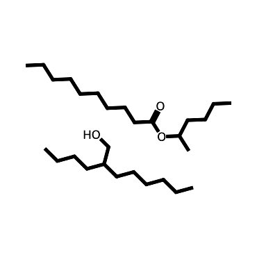 CCCCCCC(CO)CCCC.CCCCCCCCCC(=O)OC(C)CCCC